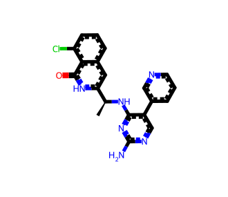 C[C@H](Nc1nc(N)ncc1-c1cccnc1)c1cc2cccc(Cl)c2c(=O)[nH]1